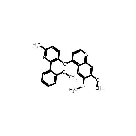 COc1cc2nccc(Oc3ccc(C)nc3-c3ccccc3OC)c2cc1OC